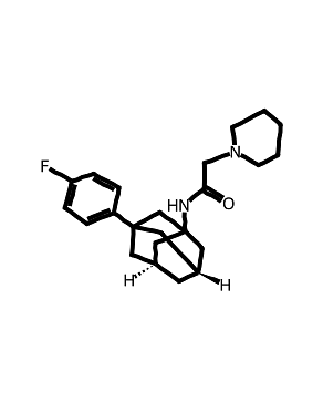 O=C(CN1CCCCC1)NC12C[C@H]3C[C@@H](C1)CC(c1ccc(F)cc1)(C3)C2